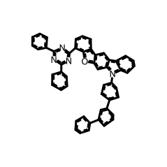 c1ccc(-c2cccc(-c3ccc(-n4c5ccccc5c5cc6c(cc54)oc4c(-c5nc(-c7ccccc7)nc(-c7ccccc7)n5)cccc46)cc3)c2)cc1